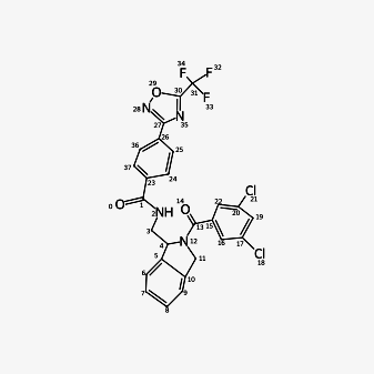 O=C(NCC1c2ccccc2CN1C(=O)c1cc(Cl)cc(Cl)c1)c1ccc(-c2noc(C(F)(F)F)n2)cc1